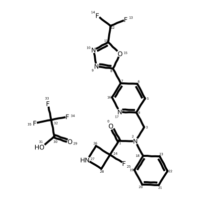 O=C(N(Cc1ccc(-c2nnc(C(F)F)o2)cn1)c1ccccc1)C1(F)CNC1.O=C(O)C(F)(F)F